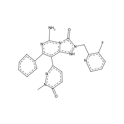 Cn1nc(-c2c(-c3ccccc3)nc(N)[n+]3c(=O)n(Cc4ncccc4F)[nH]c23)ccc1=O